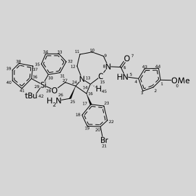 COc1ccc(NC(=O)N2CCCCN3[C@@H](C2)[C@@H](c2ccc(Br)cc2)[C@]3(CN)CO[Si](c2ccccc2)(c2ccccc2)C(C)(C)C)cc1